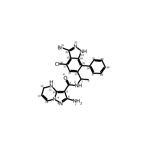 CC(NC(=O)c1c(N)nn2c1NCC=C2)c1cc(Cl)c2c(Br)n[nH]c2c1-c1ccccc1